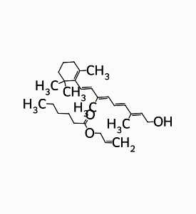 C=CCOC(=O)CCCCC.CC1=C(/C=C/C(C)=C/C=C/C(C)=C/CO)C(C)(C)CCC1